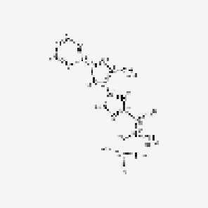 Cc1nc(-c2cccnc2)sc1-c1nc(C(=O)N(C)CC(F)(F)F)cs1